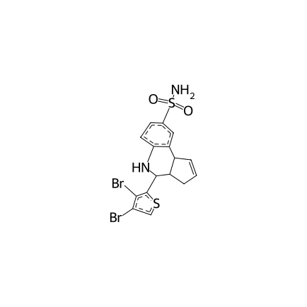 NS(=O)(=O)c1ccc2c(c1)C1C=CCC1C(c1scc(Br)c1Br)N2